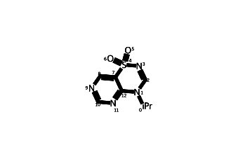 CC(C)N1C=NS(=O)(=O)c2cncnc21